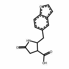 O=C1CC(C(=O)O)C(Cc2ccc3occc3c2)N1